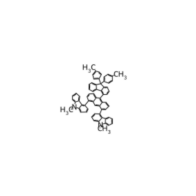 Cc1ccc(C2(c3ccc(C)cc3)c3ccccc3-c3c(-c4c5cccc(-c6cccc7c6c6ccccc6n7C)c5cc5c(-c6cccc7c6c6ccccc6n7C)cccc45)cccc32)cc1